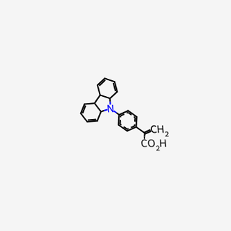 C=C(C(=O)O)c1ccc(N2C3C=CC=CC3C3C=CC=CC32)cc1